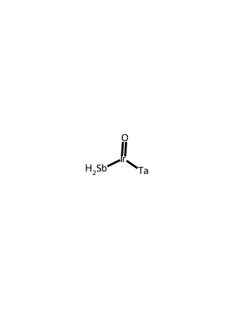 [O]=[Ir]([SbH2])[Ta]